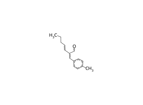 CCCC=CC(C=O)=Cc1ccc(C)cc1